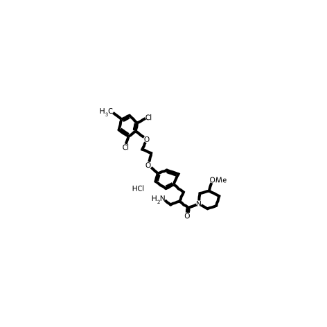 COC1CCCN(C(=O)C(CN)Cc2ccc(OCCOc3c(Cl)cc(C)cc3Cl)cc2)C1.Cl